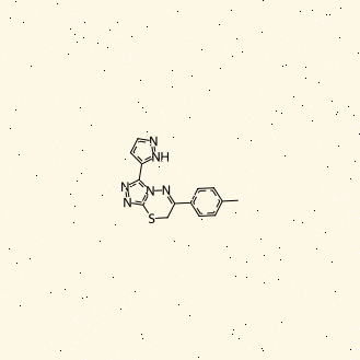 Cc1ccc(C2=Nn3c(nnc3-c3ccn[nH]3)SC2)cc1